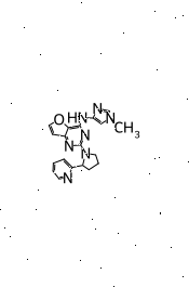 Cn1cnc(Nc2nc(N3CCCC3c3ccccn3)nc3ccoc23)c1